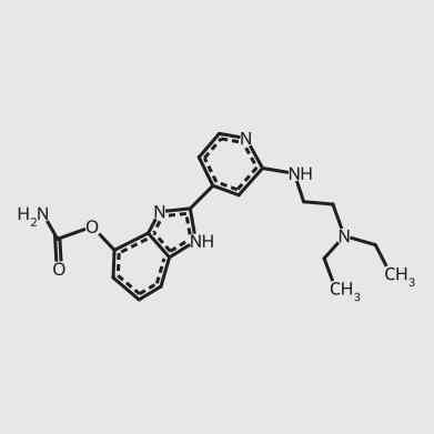 CCN(CC)CCNc1cc(-c2nc3c(OC(N)=O)cccc3[nH]2)ccn1